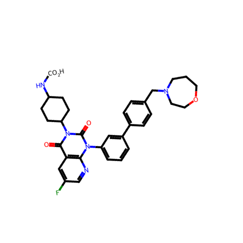 O=C(O)NC1CCC(n2c(=O)c3cc(F)cnc3n(-c3cccc(-c4ccc(CN5CCCOCC5)cc4)c3)c2=O)CC1